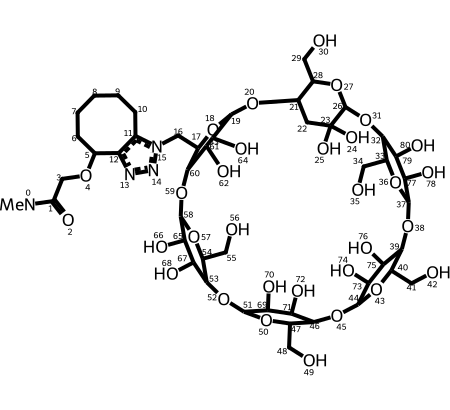 CNC(=O)COC1CCCCCc2c1nnn2CC1OC2OC3CC(O)(O)C(OC3CO)OC3C(CO)OC(OC4C(CO)OC(OC5C(CO)OC(OC6C(CO)OC(OC1C(O)C2O)C(O)C6O)C(O)C5O)C(O)C4O)C(O)C3O